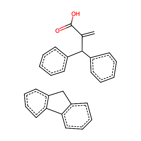 C=C(C(=O)O)C(c1ccccc1)c1ccccc1.c1ccc2c(c1)Cc1ccccc1-2